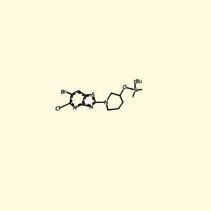 CC(C)(C)[Si](C)(C)OC1CCCN(c2nc3nc(Cl)c(Br)cc3s2)C1